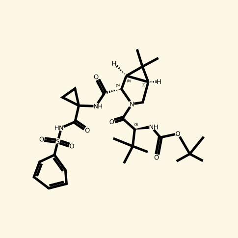 CC(C)(C)OC(=O)N[C@H](C(=O)N1C[C@H]2[C@@H]([C@H]1C(=O)NC1(C(=O)NS(=O)(=O)c3ccccc3)CC1)C2(C)C)C(C)(C)C